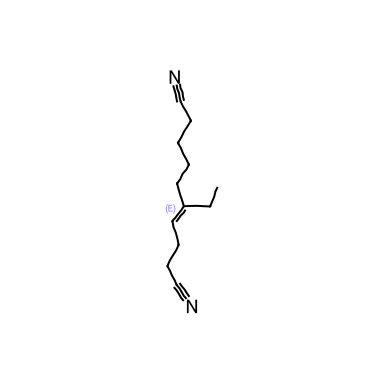 CC/C(=C\CCC#N)CCCCC#N